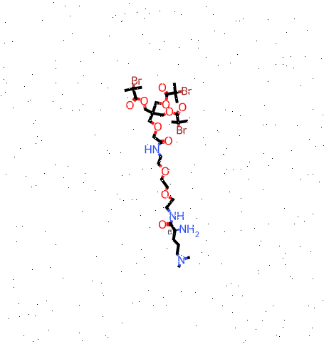 CN(C)CCC[C@H](N)C(=O)NCCOCCOCCNC(=O)COCC(COC(=O)C(C)(C)Br)(COC(=O)C(C)(C)Br)COC(=O)C(C)(C)Br